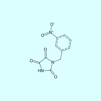 O=C1NC(=O)N(Cc2cccc([N+](=O)[O-])c2)C1=O